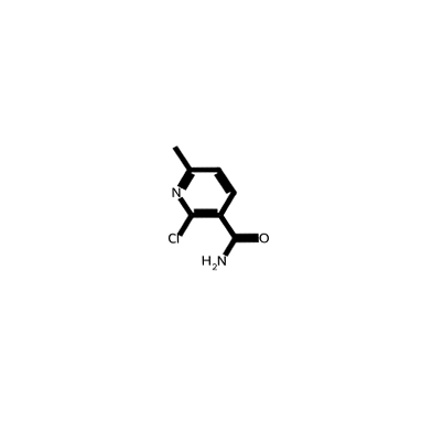 Cc1ccc(C(N)=O)c(Cl)n1